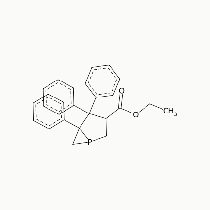 CCOC(=O)C1CP2CC2(c2ccccc2)C1(c1ccccc1)c1ccccc1